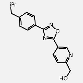 CC(C)Cc1ccc(-c2noc(-c3ccc(CO)nc3)n2)cc1